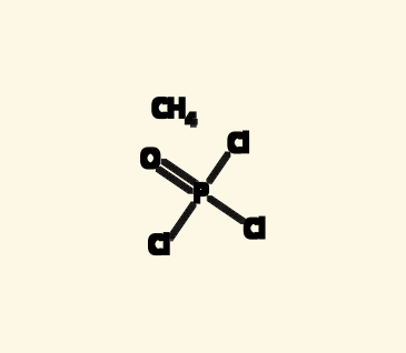 C.O=P(Cl)(Cl)Cl